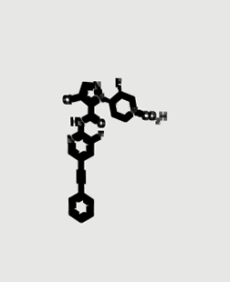 O=C(Nc1ncc(C#Cc2ccccc2)cc1F)c1c(Cl)cnn1[C@@H]1CCN(C(=O)O)C[C@H]1F